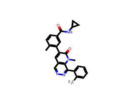 Cc1ccc(C(=O)NC2CC2)cc1-c1cc2cnnc(-c3ccccc3C(F)(F)F)c2n(C)c1=O